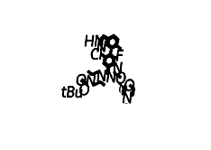 Cc1ccc2c[nH]nc2c1-c1c(Cl)cc2c(N3CC(C)N(C(=O)OC(C)(C)C)CC3C)nc(OC[C@@H]3CN(C)CCO3)nc2c1F